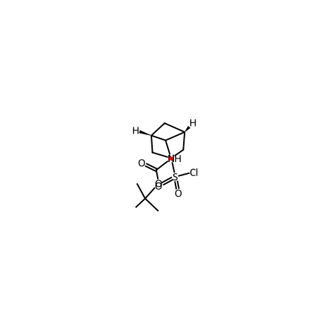 CC(C)(C)OC(=O)NC1[C@@H]2C[C@H]1CN(S(=O)(=O)Cl)C2